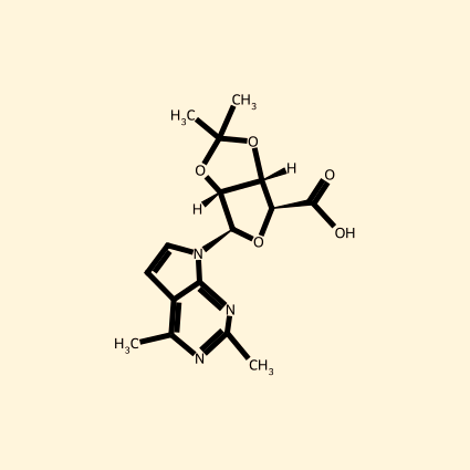 Cc1nc(C)c2ccn([C@@H]3O[C@H](C(=O)O)[C@H]4OC(C)(C)O[C@H]43)c2n1